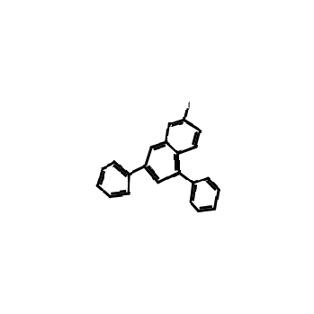 Ic1ccc2c(-c3ccccc3)cc(-c3ccccc3)cc2c1